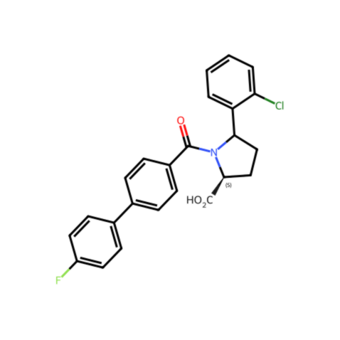 O=C(O)[C@@H]1CCC(c2ccccc2Cl)N1C(=O)c1ccc(-c2ccc(F)cc2)cc1